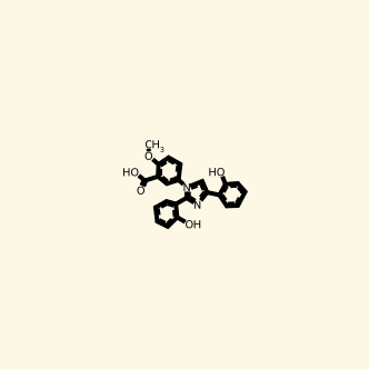 COc1ccc(-n2cc(-c3ccccc3O)nc2-c2ccccc2O)cc1C(=O)O